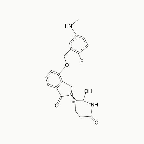 CNc1ccc(F)c(COc2cccc3c2CN([C@@H]2CCC(=O)NC2O)C3=O)c1